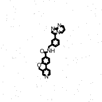 O=C(NCc1cccc(-c2cnc3ncccn23)c1)c1ccc2c(c1)OCc1cnccc1-2